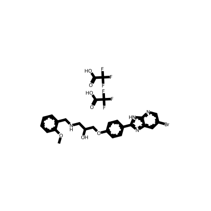 COc1ccccc1CNCC(O)COc1ccc(-c2nc3cc(Br)cnc3[nH]2)cc1.O=C(O)C(F)(F)F.O=C(O)C(F)(F)F